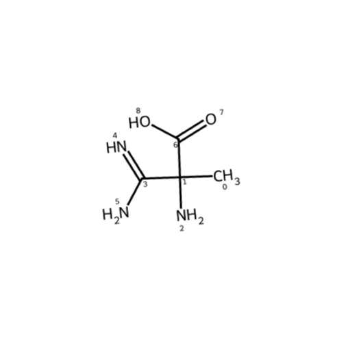 CC(N)(C(=N)N)C(=O)O